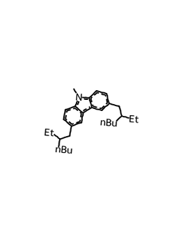 CCCCC(CC)Cc1ccc2c(c1)c1cc(CC(CC)CCCC)ccc1n2C